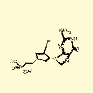 Nc1nc2c(ncn2[C@@H]2C[C@H](CCP(=O)(O)O)C=C2F)c(=O)[nH]1